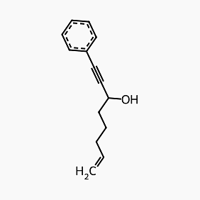 C=CCCCC(O)C#Cc1ccccc1